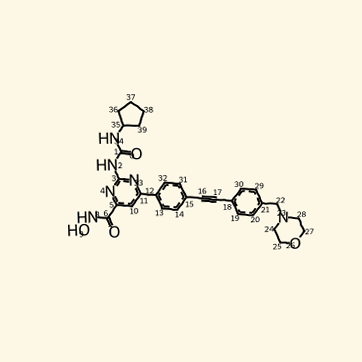 O=C(Nc1nc(C(=O)NO)cc(-c2ccc(C#Cc3ccc(CN4CCOCC4)cc3)cc2)n1)NC1CCCC1